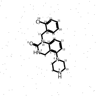 O=C1NCc2c(N3CCNCC3)cccc2N1Cc1ccccc1Cl